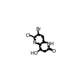 O=c1cc(O)c2nc(Cl)c(Br)cc2[nH]1